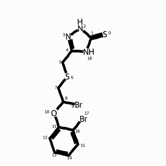 S=c1[nH]nc(CSCC(Br)Oc2ccccc2Br)[nH]1